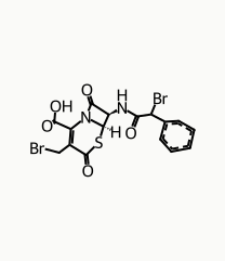 O=C(O)C1=C(CBr)C(=O)S[C@@H]2[C@H](NC(=O)C(Br)c3ccccc3)C(=O)N12